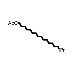 CC(=O)OCCCCCCCCCCCCCCCC(C)C